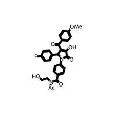 COc1ccc(C(=O)C2=C(O)C(=O)N(c3ccc(C(=O)N(CCO)C(C)=O)cc3)C2c2ccc(F)cc2)cc1